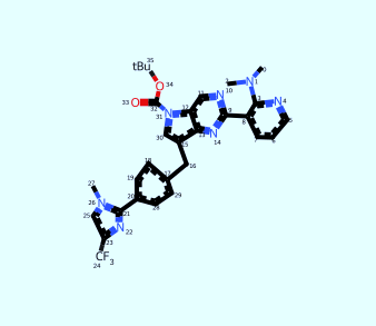 CN(C)c1ncccc1-c1ncc2c(n1)c(Cc1ccc(-c3nc(C(F)(F)F)cn3C)cc1)cn2C(=O)OC(C)(C)C